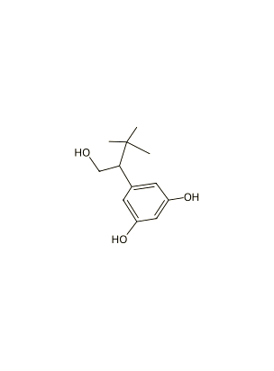 CC(C)(C)C(CO)c1cc(O)cc(O)c1